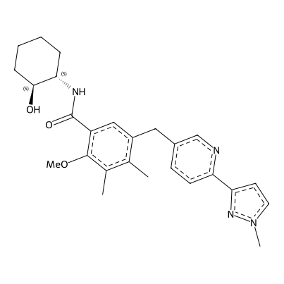 COc1c(C(=O)N[C@H]2CCCC[C@@H]2O)cc(Cc2ccc(-c3ccn(C)n3)nc2)c(C)c1C